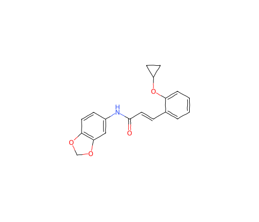 O=C(C=Cc1ccccc1OC1CC1)Nc1ccc2c(c1)OCO2